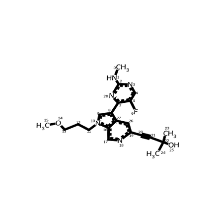 CNc1ncc(F)c(-c2cn(CCCOC)c3cnc(C#CC(C)(C)O)cc23)n1